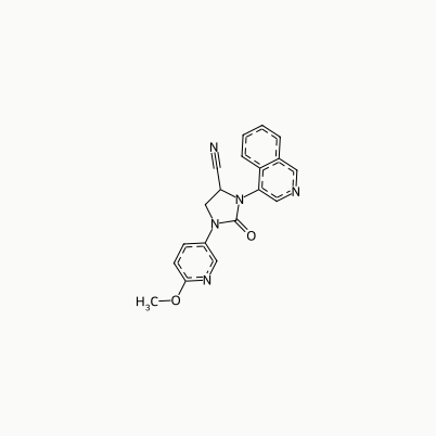 COc1ccc(N2CC(C#N)N(c3cncc4ccccc34)C2=O)cn1